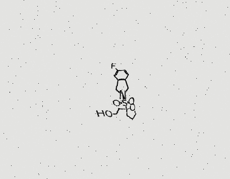 O=S(=O)(N1Cc2ccc(F)cc2C1)[C@@]1(CCO)CCCO1